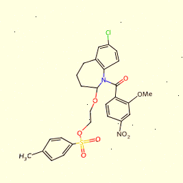 COc1cc([N+](=O)[O-])ccc1C(=O)N1c2ccc(Cl)cc2CCCC1OCCOS(=O)(=O)c1ccc(C)cc1